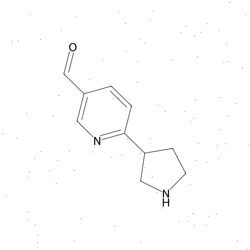 O=Cc1ccc(C2CCNC2)nc1